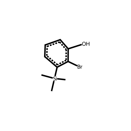 C[Si](C)(C)c1cccc(O)c1Br